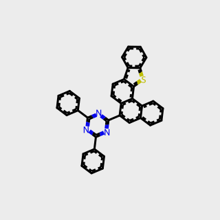 c1ccc(-c2nc(-c3ccccc3)nc(-c3cc4ccccc4c4c3ccc3c5ccccc5sc34)n2)cc1